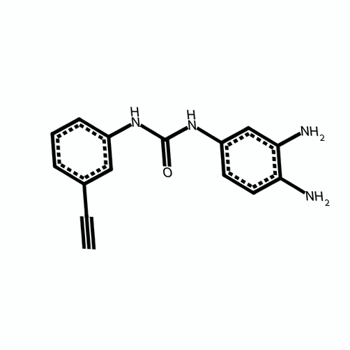 C#Cc1cccc(NC(=O)Nc2ccc(N)c(N)c2)c1